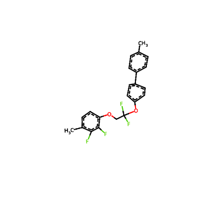 Cc1ccc(-c2ccc(OC(F)(F)COc3ccc(C)c(F)c3F)cc2)cc1